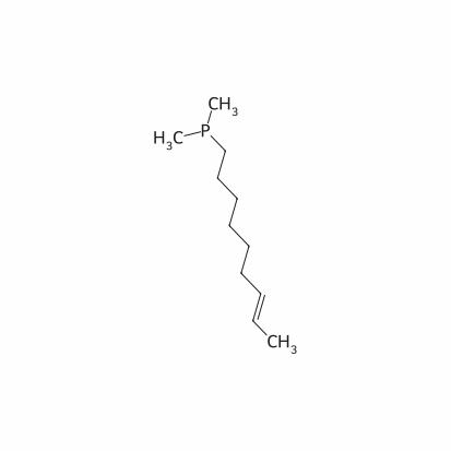 CC=CCCCCCCP(C)C